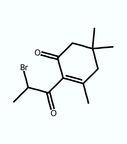 CC1=C(C(=O)C(C)Br)C(=O)CC(C)(C)C1